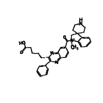 C[N+]1(C(=O)c2ccc3nc(-c4ccccc4)c(CCCCC(=O)O)nc3c2)CC2(CCNCC2)c2ccccc21